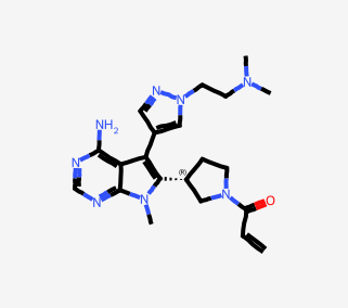 C=CC(=O)N1CC[C@@H](c2c(-c3cnn(CCN(C)C)c3)c3c(N)ncnc3n2C)C1